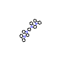 c1ccc2c(c1)c1ccccc1n2-c1cccc2c1c1ccccc1n2-c1ccc(-n2c3ccccc3c3c(-n4c5ccccc5c5ccccc54)cccc32)cc1